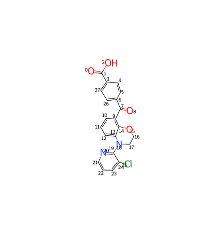 O=C(O)c1ccc(C(=O)c2cccc3c2OCCN3c2ncccc2Cl)cc1